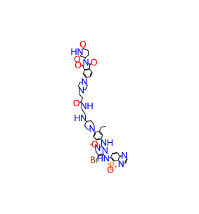 CCc1cc(Nc2ncc(Br)c(Nc3ccc4nccnc4c3P(C)(C)=O)n2)c(OC)cc1N1CCC(NCCNC(=O)CCN2CCN(c3ccc4c(c3)C(=O)N(C3CCC(=O)NC3=O)C4=O)CC2)CC1